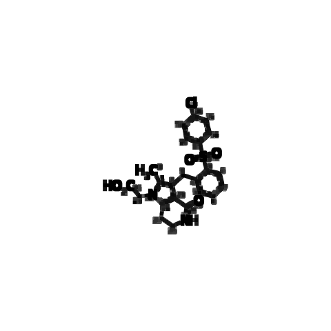 Cc1c(Cc2ccccc2S(=O)(=O)c2ccc(Cl)cc2)c2c(n1CC(=O)O)CCNC2=O